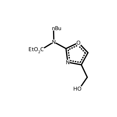 CCCCN(C(=O)OCC)c1nc(CO)co1